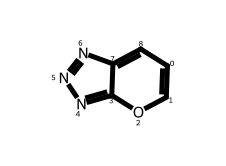 c1coc2nnnc-2c1